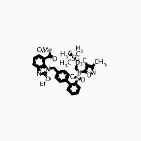 CCOc1nc2cccc(C(=O)OC)c2n1Cc1ccc(-c2ccccc2S(=O)(=O)N(CO[Si](C)(C)C)c2onc(C)c2C)cc1